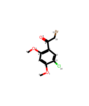 COc1cc(OC)c(C(=O)CBr)cc1Cl